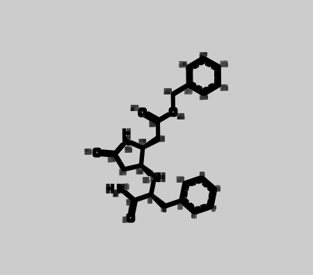 NC(=O)[C@H](Cc1ccccc1)N[C@H]1CC(=O)N[C@H]1CC(=O)OCc1ccccc1